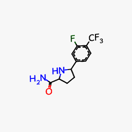 NC(=O)C1CCC(c2ccc(C(F)(F)F)c(F)c2)N1